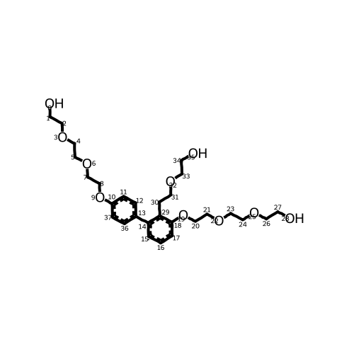 OCCOCCOCCOc1ccc(-c2[c]ccc(OCCOCCOCCO)c2CCOCCO)cc1